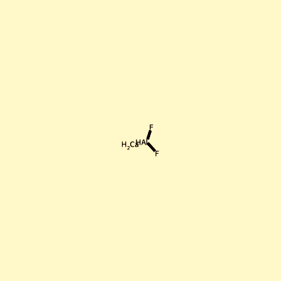 [CaH2].[F][AlH][F]